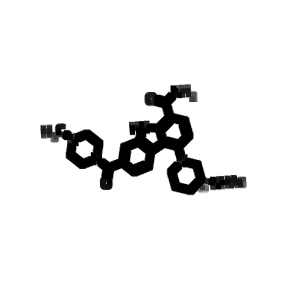 CC(=O)N[C@@H]1CCCN(c2ccc(C(N)=O)c3[nH]c4cc(C(=O)N5CCN(C)CC5)ccc4c23)C1